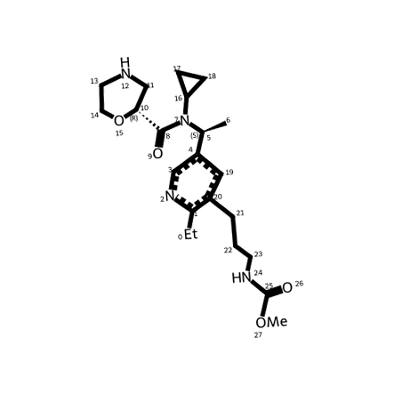 CCc1ncc([C@H](C)N(C(=O)[C@H]2CNCCO2)C2CC2)cc1CCCNC(=O)OC